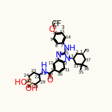 C[C@@H]1C[C@H](n2c(Nc3ccc(OC(F)(F)F)cc3)nc3cc(C(=O)NC4CCS(O)(O)CC4)ccc32)CC(C)(C)C1